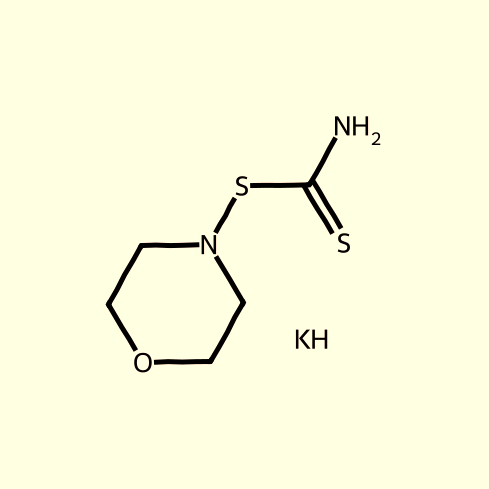 NC(=S)SN1CCOCC1.[KH]